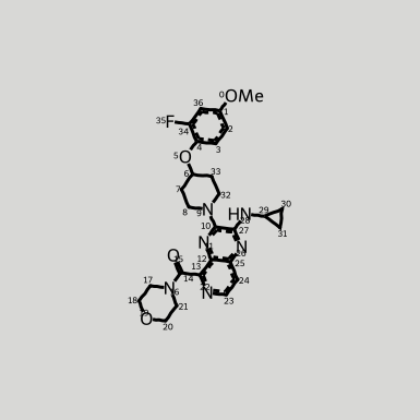 COc1ccc(OC2CCN(c3nc4c(C(=O)N5CCOCC5)nccc4nc3NC3CC3)CC2)c(F)c1